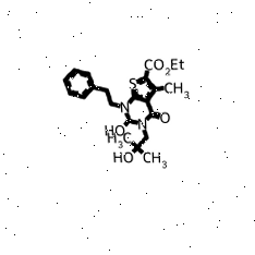 CCOC(=O)c1sc2c(c1C)C(=O)N(CC(C)(C)O)C(O)N2CCc1ccccc1